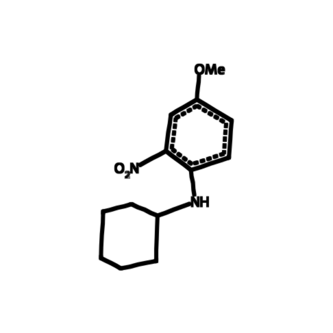 COc1ccc(NC2CCCCC2)c([N+](=O)[O-])c1